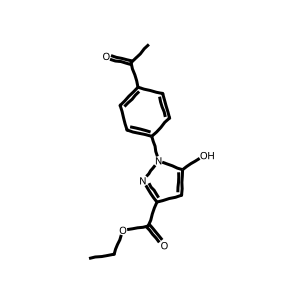 CCOC(=O)c1cc(O)n(-c2ccc(C(C)=O)cc2)n1